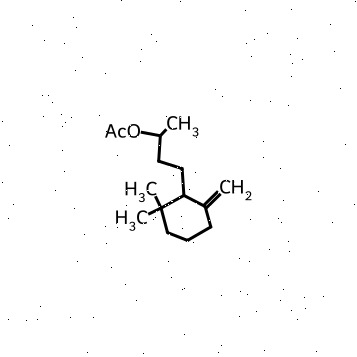 C=C1CCCC(C)(C)C1CCC(C)OC(C)=O